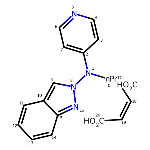 CCCN(c1ccncc1)n1cc2ccccc2n1.O=C(O)/C=C\C(=O)O